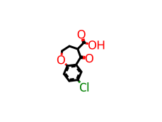 O=C(O)C1CCOc2ccc(Cl)cc2C1=O